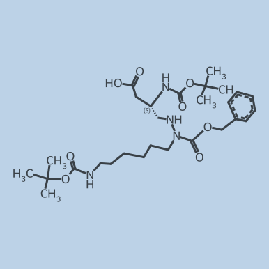 CC(C)(C)OC(=O)NCCCCCCN(NC[C@H](CC(=O)O)NC(=O)OC(C)(C)C)C(=O)OCc1ccccc1